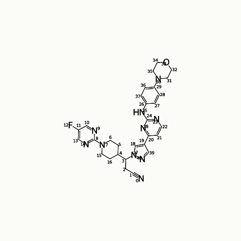 N#CCC(C1CCN(c2ncc(F)cn2)CC1)n1cc(-c2ccnc(Nc3ccc(N4CCOCC4)cc3)n2)cn1